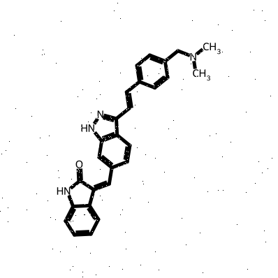 CN(C)Cc1ccc(/C=C/c2n[nH]c3cc(C=C4C(=O)Nc5ccccc54)ccc23)cc1